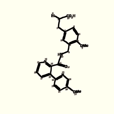 CCC(Cc1ccc(OC)c(CNC(=O)c2ncccc2-c2ccc(OC)cn2)c1)C(=O)O